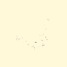 CCNCCCOc1ccc2[nH]c3ccc(OCCCNCC)cc3c2c1